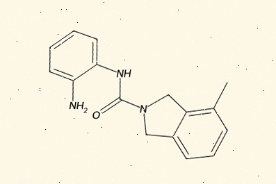 Cc1cccc2c1CN(C(=O)Nc1ccccc1N)C2